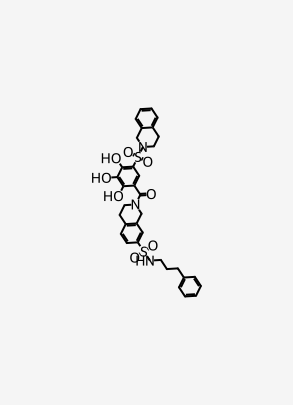 O=C(c1cc(S(=O)(=O)N2CCc3ccccc3C2)c(O)c(O)c1O)N1CCc2ccc(S(=O)(=O)NCCCc3ccccc3)cc2C1